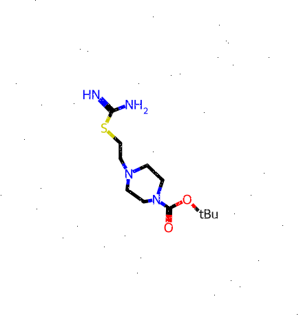 CC(C)(C)OC(=O)N1CCN(CCSC(=N)N)CC1